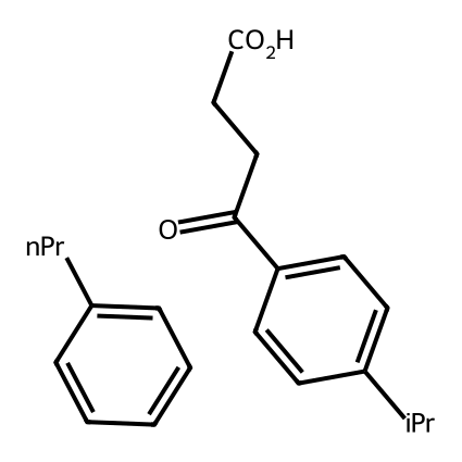 CC(C)c1ccc(C(=O)CCC(=O)O)cc1.CCCc1ccccc1